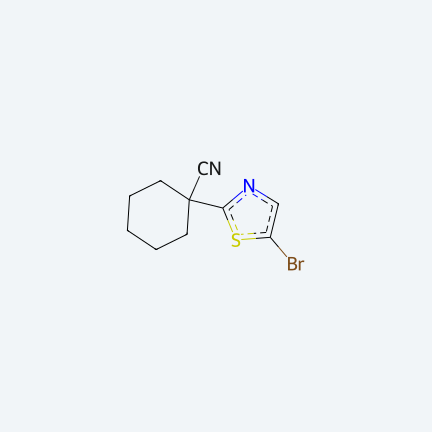 N#CC1(c2ncc(Br)s2)CCCCC1